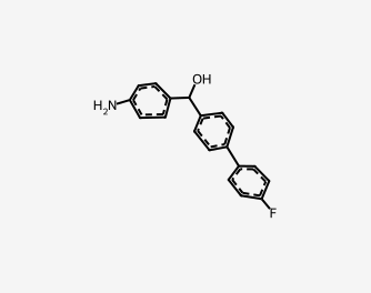 Nc1ccc(C(O)c2ccc(-c3ccc(F)cc3)cc2)cc1